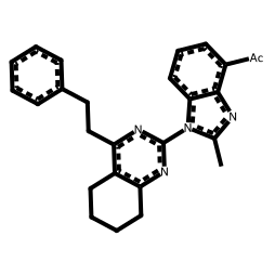 CC(=O)c1cccc2c1nc(C)n2-c1nc2c(c(CCc3ccccc3)n1)CCCC2